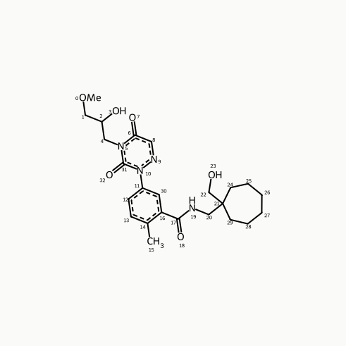 COCC(O)Cn1c(=O)cnn(-c2ccc(C)c(C(=O)NCC3(CO)CCCCCC3)c2)c1=O